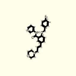 O=C(Nc1cccnc1)c1cc(C=CCN2CCOCC2)ccc1OCc1ccc(F)cc1